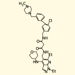 CCc1nc2c(cnn2CC)c(NC2CCOCC2)c1CNC(=O)CC(=O)NCc1ccc(Cl)c(-c2cccc(CN3CCN(C)CC3)c2)c1